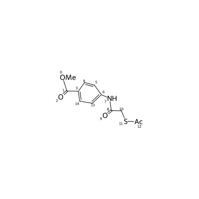 COC(=O)c1ccc(NC(=O)CSC(C)=O)cc1